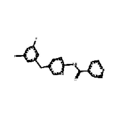 O=C(Nc1ccc(Cc2cc(F)cc(F)c2)cn1)c1ccncc1